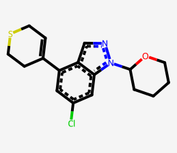 Clc1cc(C2=CCSCC2)c2cnn(C3CCCCO3)c2c1